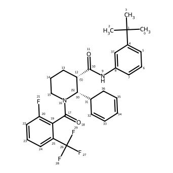 CC(C)(C)c1cccc(NC(=O)[C@H]2CCCN(C(=O)c3c(F)cccc3C(F)(F)F)[C@H]2C2C=CC=CC2)c1